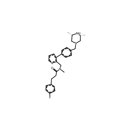 C[C@@H]1CN(Cc2ccc(-c3cccnc3CN(C)C(=O)CCc3ccc(F)cc3)cc2)C[C@H](C)N1